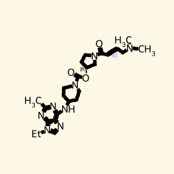 CCn1cnc2c(NC3CCN(C(=O)O[C@@H]4CCN(C(=O)/C=C/CN(C)C)C4)CC3)nc(C)nc21